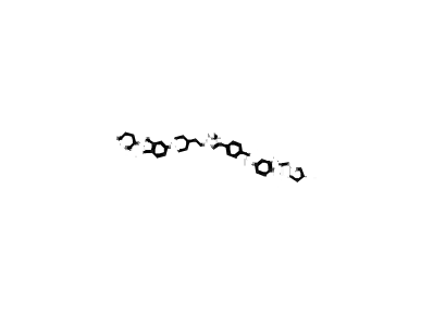 C[C@H]1C[C@H](O)CN1Cc1nc2cc(NC(=O)c3ccc(-c4cn(CCC5CCN(c6ccc7c(c6)C(=O)N(C6CCC(=O)NC6=O)C7=O)CC5)nn4)cc3)ccc2[nH]1